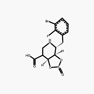 O=C(O)C1CN[C@H](Cc2cccc(Br)c2F)[C@H]2OS(=O)O[C@@H]12